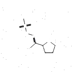 CS(=O)(=O)O/N=C(\Cl)C1CCCO1